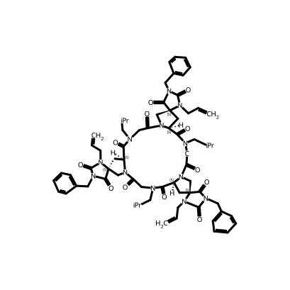 C=CCN1C(=O)N(Cc2ccccc2)C(=O)[C@@]12C[C@H]1C(=O)N(CC(C)C)CC(=O)N3C[C@@]4(C[C@H]3C(=O)N(CC(C)C)CC(=O)N3C[C@@]5(C[C@H]3C(=O)N(CC(C)C)CC(=O)N1C2)C(=O)N(Cc1ccccc1)C(=O)N5CC=C)C(=O)N(Cc1ccccc1)C(=O)N4CC=C